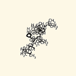 C=C(OS(=O)(=O)C(F)(F)F)[C@H](C)C[C@H]1CC[C@@H]2O[C@@H](CCC(/C=C/[C@H](O[Si](C)(C)C(C)(C)C)[C@@H]3O[C@H]4CC[C@H](CCO[Si](CC)(CC)CC)O[C@@H]4[C@H](O[Si](C)(C)C(C)(C)C)[C@@H]3O[Si](C)(C)C(C)(C)C)OC(=O)c3ccccc3)C[C@]2(CI)O1